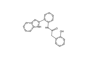 O=C(Cc1ccccc1O)Nc1ccccc1-c1cc2ccccc2[nH]1